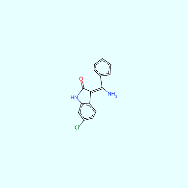 NC(=C1C(=O)Nc2cc(Cl)ccc21)c1ccccc1